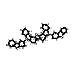 c1ccc2c(c1)sc1ccc(-n3c4ccccc4c4c5oc6c(ccc7c6c6ccccc6n7-c6ccc7sc8ccccc8c7c6)c5ccc43)cc12